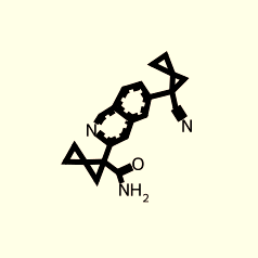 N#CC1(c2ccc3cnc(C4(C(N)=O)CC45CC5)cc3c2)CC12CC2